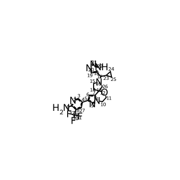 Nc1ncc(-c2cc3n(n2)CCOC32CCN(C(c3cnn[nH]3)C3CC3)C2)cc1C(F)(F)F